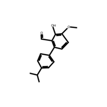 COc1ccc(-c2ccc(C(C)C)cc2)c(C=O)c1O